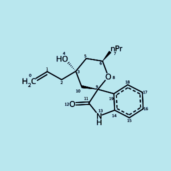 C=CC[C@@]1(O)C[C@@H](CCC)O[C@@]2(C1)C(=O)Nc1ccccc12